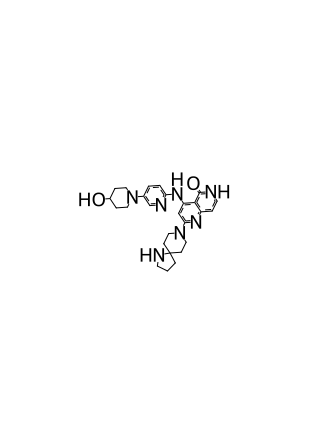 O=c1[nH]ccc2nc(N3CCC4(CCCN4)CC3)cc(Nc3ccc(N4CCC(O)CC4)cn3)c12